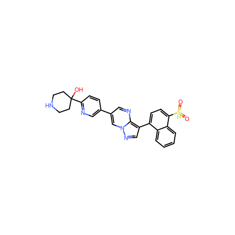 O=[SH](=O)c1ccc(-c2cnn3cc(-c4ccc(C5(O)CCNCC5)nc4)cnc23)c2ccccc12